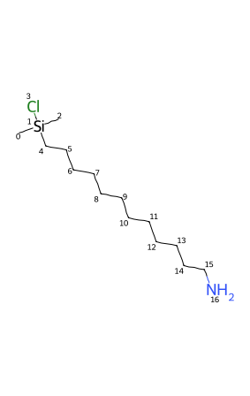 C[Si](C)(Cl)CCCCCCCCCCCCN